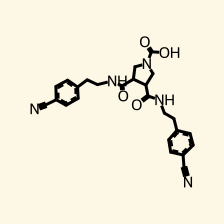 N#Cc1ccc(CCNC(=O)C2CN(C(=O)O)CC2C(=O)NCCc2ccc(C#N)cc2)cc1